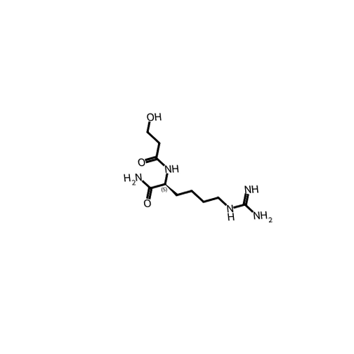 N=C(N)NCCCC[C@H](NC(=O)CCO)C(N)=O